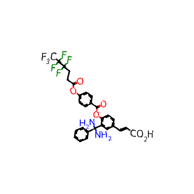 NC(N)(c1ccccc1)c1cc(/C=C/C(=O)O)ccc1OC(=O)c1ccc(OC(=O)CCC(F)(F)C(F)(F)C(F)(F)F)cc1